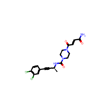 C[C@@H](C#Cc1ccc(Cl)c(Cl)c1)NC(=O)N1CCN(C(=O)/C=C/C(N)=O)CC1